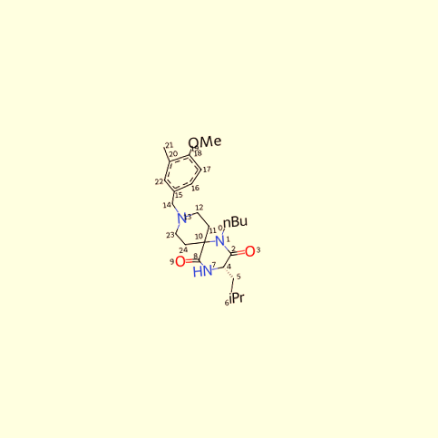 CCCCN1C(=O)[C@H](CC(C)C)NC(=O)C12CCN(Cc1ccc(OC)c(C)c1)CC2